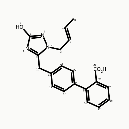 C/C=C/Cn1nc(O)nc1Cc1ccc(-c2ccccc2C(=O)O)cc1